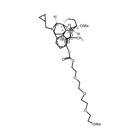 COCCOCCOCCOCCOC(=O)Oc1ccc2c3c1O[C@H]1[C@]4(OC)CC[C@@]5(C[C@@H]4[C@](C)(O)C(C)(C)C)[C@@H](C2)N(CC2CC2)CC[C@]315